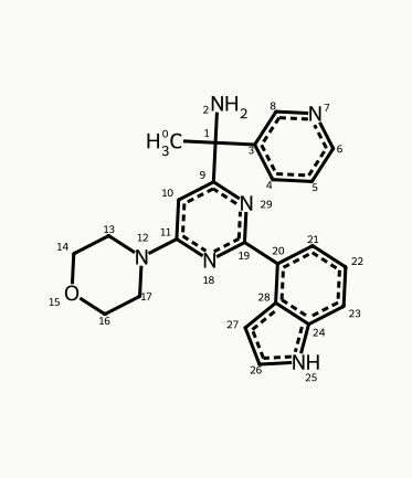 CC(N)(c1cccnc1)c1cc(N2CCOCC2)nc(-c2cccc3[nH]ccc23)n1